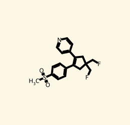 CS(=O)(=O)c1ccc(C2=C(c3ccncc3)CC(CF)(CF)C2)cc1